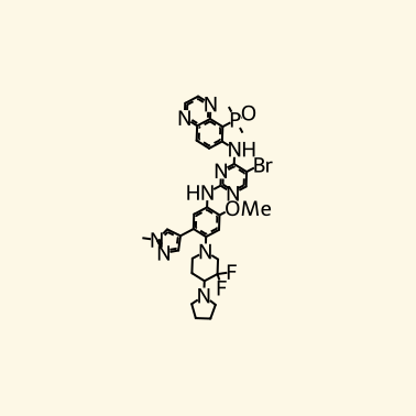 COc1cc(N2CCC(N3CCCC3)C(F)(F)C2)c(-c2cnn(C)c2)cc1Nc1ncc(Br)c(Nc2ccc3nccnc3c2P(C)(C)=O)n1